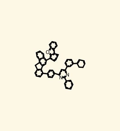 C1=CCCC(c2cccc(-c3cc(-c4ccc(-c5cccc6c5-c5cc(-c7cccc8c7oc7ccccc78)c7ccccc7c5C6)cc4)nc(-c4ccccc4)n3)c2)=C1